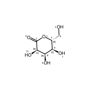 O=C1O[C@H](CO)[C@@H](O)[C@@H](O)[C@H]1O